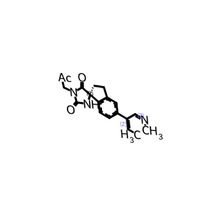 C/C=C(\C=N/C)c1ccc2c(c1)CC[C@@]21NC(=O)N(CC(C)=O)C1=O